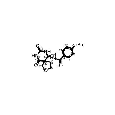 CCCCc1ccc(C(=O)N[C@@H]2COCC23C(=O)NC(=O)NC3=O)cc1